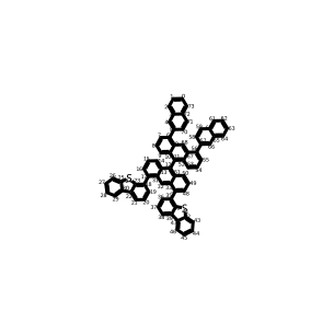 c1ccc2cc(-c3cccc4c(-c5c6cccc(-c7cccc8c7sc7ccccc78)c6cc6c(-c7cccc8c7sc7ccccc78)cccc56)c5cccc(-c6ccc7ccccc7c6)c5cc34)ccc2c1